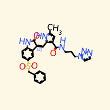 Cc1cc(C(=O)NCCCn2ccnn2)c(/C=C2\C(=O)Nc3ccc(S(=O)(=O)Cc4ccccc4)cc32)[nH]1